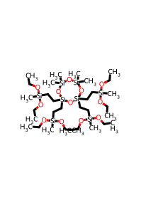 CCO[Si](C)(CC[Si]1(CC[Si](C)(OCC)OCC)O[Si](C)(C)O[Si](C)(C)O[Si](CC[Si](C)(OCC)OCC)(CC[Si](C)(OCC)OCC)O1)OCC